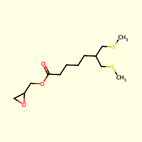 CSCC(CCCCC(=O)OCC1CO1)CSC